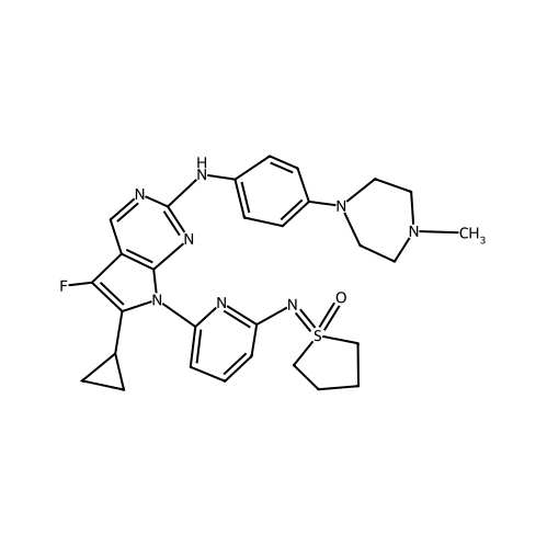 CN1CCN(c2ccc(Nc3ncc4c(F)c(C5CC5)n(-c5cccc(N=S6(=O)CCCC6)n5)c4n3)cc2)CC1